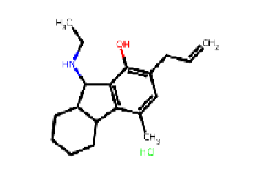 C=CCc1cc(C)c2c(c1O)C(NCC)C1CCCCC21.Cl